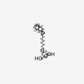 OCC1CC(OCCCCCCCCOc2ccc3ncccc3c2)CC(O)O1